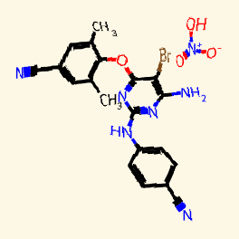 Cc1cc(C#N)cc(C)c1Oc1nc(Nc2ccc(C#N)cc2)nc(N)c1Br.O=[N+]([O-])O